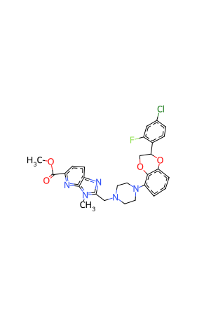 COC(=O)c1ccc2nc(CN3CCN(c4cccc5c4OCC(c4ccc(Cl)cc4F)O5)CC3)n(C)c2n1